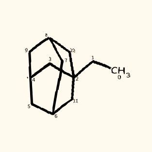 CCC12C[C]3CC(CC(C3)C1)C2